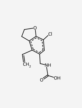 C=Cc1c(CNC(=O)O)cc(Cl)c2c1CCO2